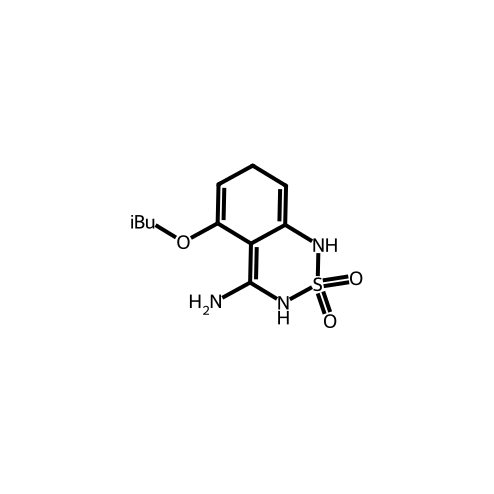 CCC(C)OC1=CCC=C2NS(=O)(=O)NC(N)=C21